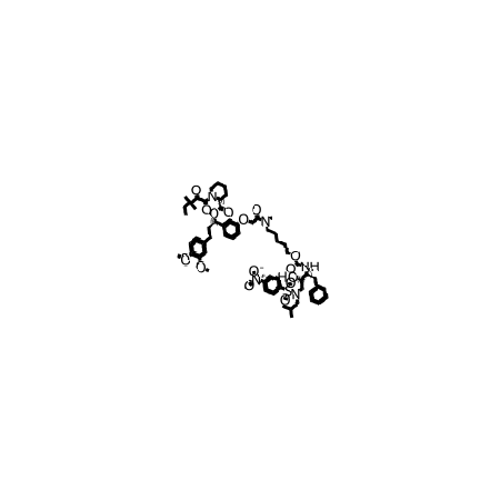 CCC(C)(C)C(=O)C(=O)N1CCCC[C@H]1C(=O)O[C@H](CCc1ccc(OC)c(OC)c1)c1cccc(OCC(=O)N(C)CCCCCOC(=O)N[C@@H](Cc2ccccc2)[C@H](O)CN(CC(C)C)S(=O)(=O)c2ccc([N+](=O)[O-])cc2)c1